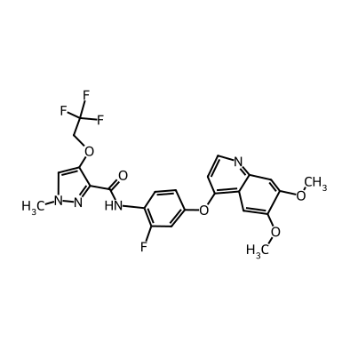 COc1cc2nccc(Oc3ccc(NC(=O)c4nn(C)cc4OCC(F)(F)F)c(F)c3)c2cc1OC